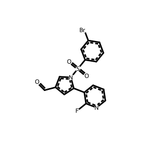 O=Cc1cc(-c2cccnc2F)n(S(=O)(=O)c2cccc(Br)c2)c1